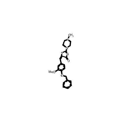 COc1cc(C=C2SC(N3CCN(C)CC3)=NC2=O)ccc1OCc1ccccc1